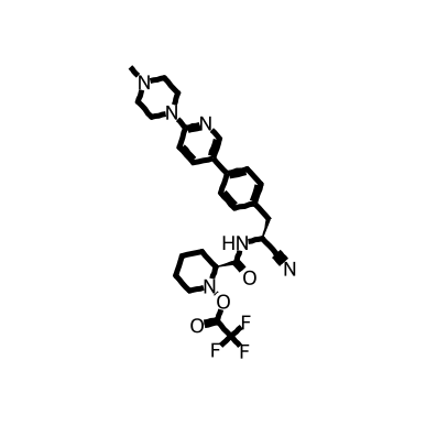 CN1CCN(c2ccc(-c3ccc(C[C@@H](C#N)NC(=O)[C@@H]4CCCCN4OC(=O)C(F)(F)F)cc3)cn2)CC1